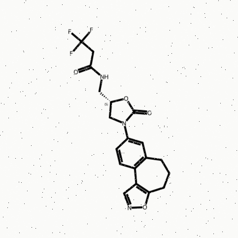 O=C(CC(F)(F)F)NC[C@H]1CN(c2ccc3c(c2)CCCc2oncc2-3)C(=O)O1